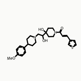 COc1ccc(C2CCN(CC(O)C3(O)CCN(C(=O)C=Cc4ccsc4)CC3)CC2)cc1